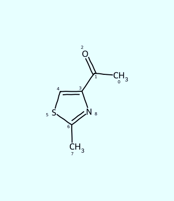 CC(=O)c1csc(C)n1